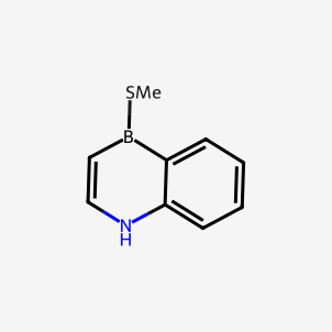 CSB1C=CNc2ccccc21